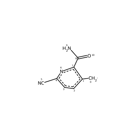 [CH2]c1ccc(C#N)nc1C(N)=O